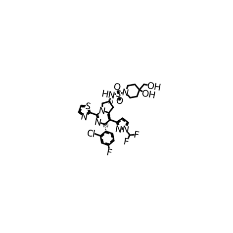 O=S(=O)(N[C@H]1CC2=C(c3ccn(C(F)F)n3)[C@H](c3ccc(F)cc3Cl)N=C(c3nccs3)N2C1)N1CCC(O)(CO)CC1